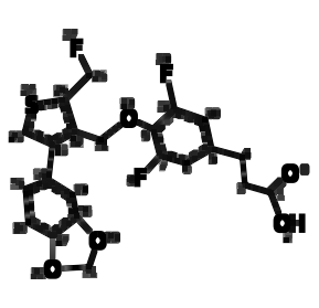 O=C(O)CCc1cc(F)c(OCc2c(-c3ccc4c(c3)OCO4)csc2CF)c(F)c1